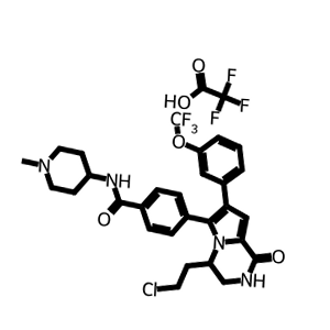 CN1CCC(NC(=O)c2ccc(-c3c(-c4cccc(OC(F)(F)F)c4)cc4n3C(CCCl)CNC4=O)cc2)CC1.O=C(O)C(F)(F)F